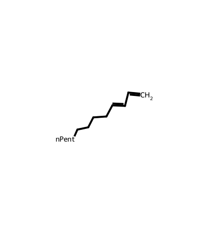 C=CC=CCCCCCCCCC